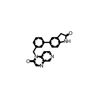 O=C1Cc2cc(-c3cccc(Cn4c(=O)cnc5cnccc54)c3)ccc2N1